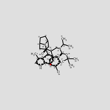 Cc1c[nH]c2nccc(N3CC4CCC(C3)N4C(=O)C(CN(C(=O)OC(C)(C)C)C(C)C)c3ccc(Cl)cc3)c12